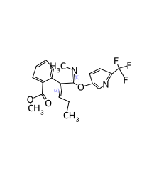 CC/C=C(\C(=N/C)Oc1ccc(C(F)(F)F)nc1)c1ccccc1C(=O)OC